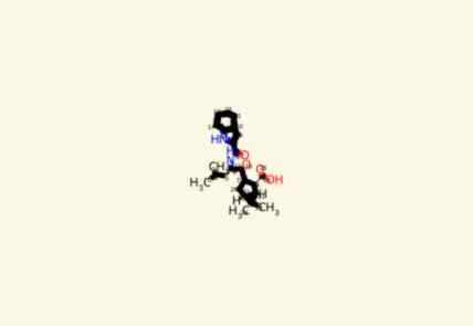 CC(C)C[C@H](NC(=O)c1cc2ccccc2[nH]1)C(=O)C1C[C@H]2[C@@H]([C@H]1C(=O)O)C2(C)C